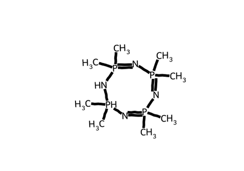 CP1(C)=NP(C)(C)=N[PH](C)(C)NP(C)(C)=N1